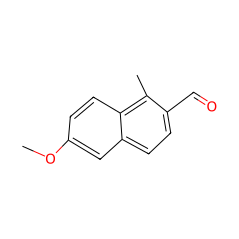 COc1ccc2c(C)c(C=O)ccc2c1